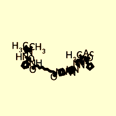 CC(=O)c1c(C)c2cnc(Nc3ccc(N4CCN(C(=O)CCCCCCCC(=O)Nc5ccccc5C(=O)Nc5nc(C)c(C)s5)CC4)cn3)nc2n(C2CCCC2)c1=O